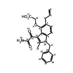 C=CCc1ccc2c(c1OCC(=O)O)c(C(=O)C(N)=O)c(C)n2Cc1ccccc1